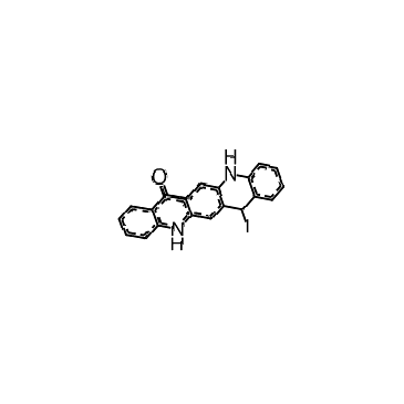 O=c1c2ccccc2[nH]c2cc3c(cc12)Nc1ccccc1C3I